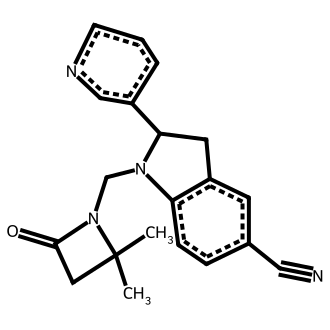 CC1(C)CC(=O)N1CN1c2ccc(C#N)cc2CC1c1cccnc1